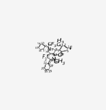 Cc1cc(F)ccc1C1CN(C(c2ccccc2)C(F)(F)F)CCC1C(=O)N(C)C(c1ccccc1)C(F)(F)F